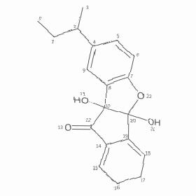 CCC(C)c1ccc2c(c1)C1(O)C(=O)C3=CCCC=C3C1(O)O2